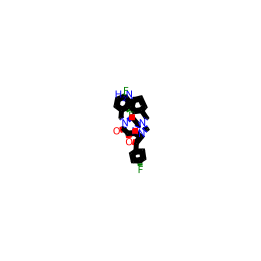 Nc1ccc(Cn2cnnc2CN(Cc2ccc(F)cc2F)C(=O)c2ccc(-c3ccc(F)cc3)o2)cc1